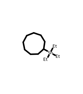 C[CH2][Sn]([CH2]C)([CH2]C)[C]1CCCCCCCC1